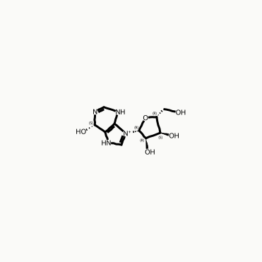 OC[C@H]1O[C@@H]([n+]2c[nH]c3c2NC=N[C@H]3O)[C@H](O)[C@@H]1O